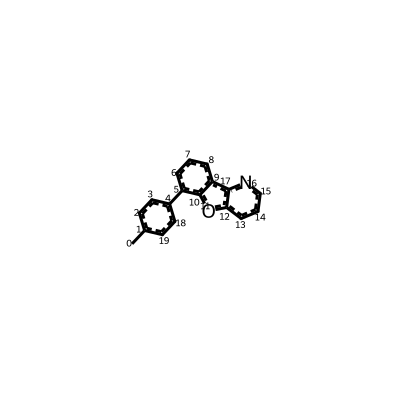 Cc1ccc(-c2cccc3c2oc2cccnc23)cc1